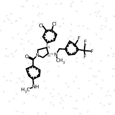 CNc1ccc(C(=O)N2C[C@H](c3ccc(Cl)c(Cl)c3)[C@H](N(C)Cc3ccc(C(F)(F)F)c(F)c3)C2)cc1